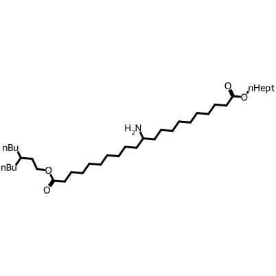 CCCCCCCOC(=O)CCCCCCCCCC(N)CCCCCCCCCC(=O)OCCC(CCCC)CCCC